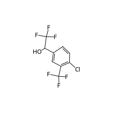 OC(c1ccc(Cl)c(C(F)(F)F)c1)C(F)(F)F